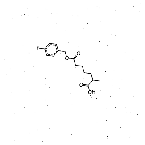 CC(CCCCC(=O)OCc1ccc(F)cc1)C(=O)O